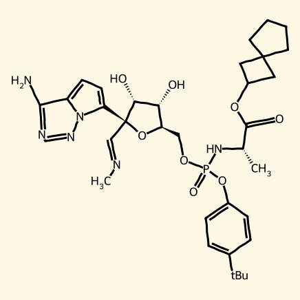 C/N=C/[C@@]1(c2ccc3c(N)ncnn23)O[C@H](COP(=O)(N[C@@H](C)C(=O)OC2CC3(CCCC3)C2)Oc2ccc(C(C)(C)C)cc2)[C@@H](O)[C@H]1O